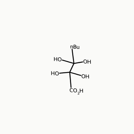 CCCCC(O)(O)C(O)(O)C(=O)O